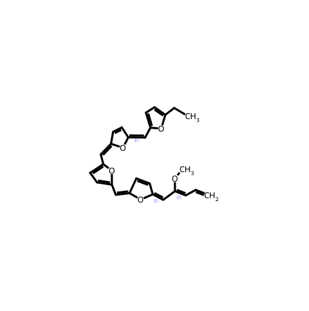 C=C/C=C(/C=c1\ccc(=Cc2ccc(C=c3cc/c(=C\c4ccc(CC)o4)o3)o2)o1)OC